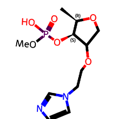 COP(=O)(O)O[C@@H]1C(OCCn2ccnc2)CO[C@@H]1C